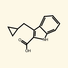 O=C(O)c1[nH]c2ccccc2c1CC1CC1